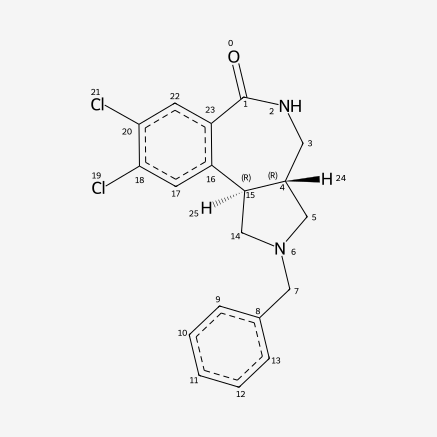 O=C1NC[C@@H]2CN(Cc3ccccc3)C[C@H]2c2cc(Cl)c(Cl)cc21